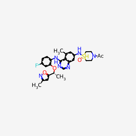 CC(=O)N1CC[SH](=O)(Nc2cc(C)c3c(Nc4ccc(F)cc4O[C@H](C)c4cc(C)no4)ncnc3c2)CC1